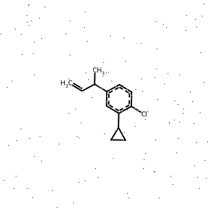 C=C[C](C)c1ccc(Cl)c(C2CC2)c1